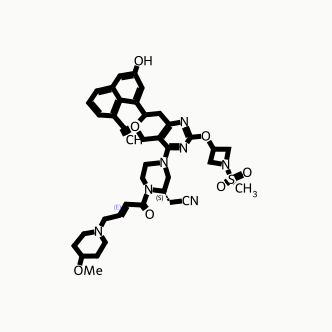 C#Cc1cccc2cc(O)cc(C3Cc4nc(OC5CN(S(C)(=O)=O)C5)nc(N5CCN(C(=O)/C=C/CN6CCC(OC)CC6)[C@@H](CC#N)C5)c4CO3)c12